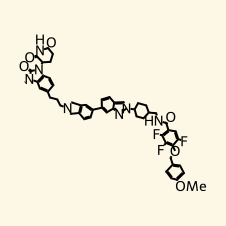 COc1ccc(COc2c(F)cc(C(=O)NCC3CCC(n4cc5ccc(-c6ccc7c(c6)CN(CCCc6ccc8c(c6)n(C)c(=O)n8C6CCC(=O)NC6=O)C7)cc5n4)CC3)c(F)c2F)cc1